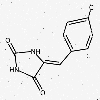 O=C1NC(=O)C(=Cc2ccc(Cl)cc2)N1